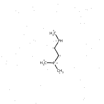 CPCCP(C)C